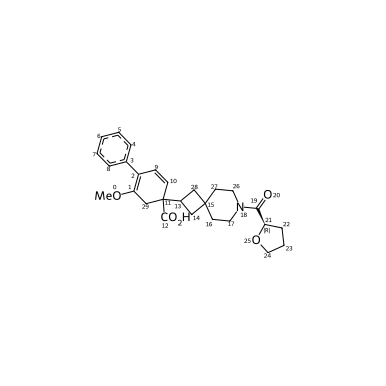 COC1=C(c2ccccc2)C=CC(C(=O)O)(C2CC3(CCN(C(=O)[C@H]4CCCO4)CC3)C2)C1